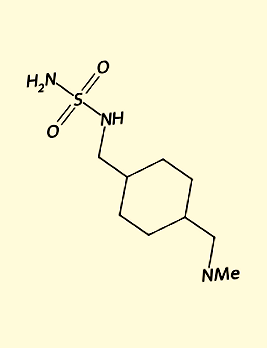 CNCC1CCC(CNS(N)(=O)=O)CC1